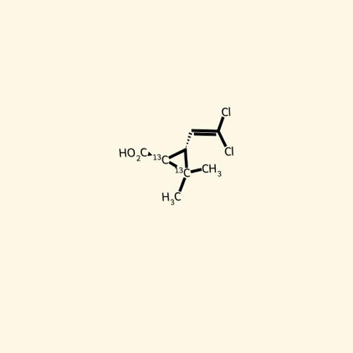 C[13C]1(C)[C@@H](C=C(Cl)Cl)[13C@@H]1C(=O)O